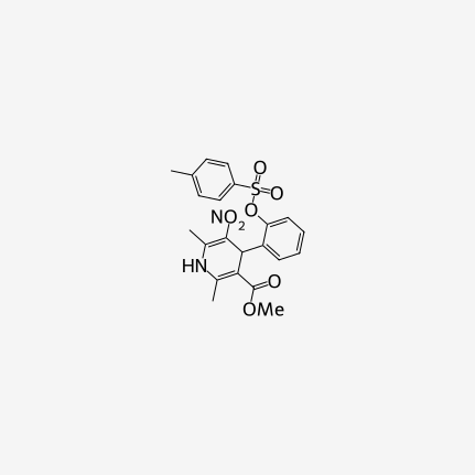 COC(=O)C1=C(C)NC(C)=C([N+](=O)[O-])C1c1ccccc1OS(=O)(=O)c1ccc(C)cc1